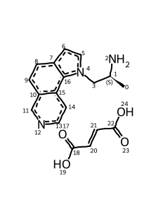 C[C@H](N)Cn1ccc2ccc3cnccc3c21.O=C(O)C=CC(=O)O